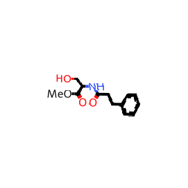 COC(=O)C(CO)NC(=O)CCc1ccccc1